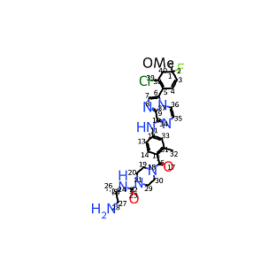 COC1(F)C=CC(c2cnc3c(Nc4ccc(C(=O)N5CCN(C(=O)N[C@@H](C)CN)CC5)c(C)c4)nccn23)=C(Cl)C1